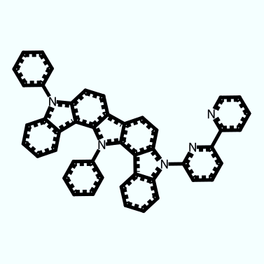 c1ccc(-n2c3ccccc3c3c2ccc2c4ccc5c(c6ccccc6n5-c5cccc(-c6ccccn6)n5)c4n(-c4ccccc4)c23)cc1